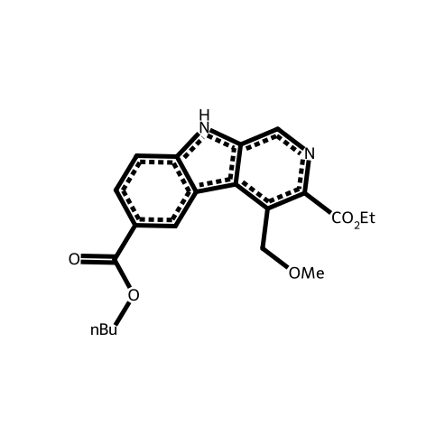 CCCCOC(=O)c1ccc2[nH]c3cnc(C(=O)OCC)c(COC)c3c2c1